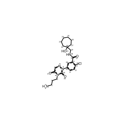 NCCCn1c(=O)cnn(-c2ccc(Cl)c(C(=O)NCC3(O)CCCCCC3)c2)c1=O